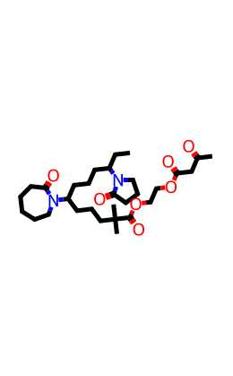 CCC(CCCC(CCCC(C)(C)C(=O)OCCOC(=O)CC(C)=O)N1CCCCCC1=O)N1CCCC1=O